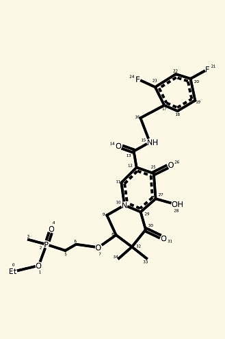 CCOP(C)(=O)CCOC1Cn2cc(C(=O)NCc3ccc(F)cc3F)c(=O)c(O)c2C(=O)C1(C)C